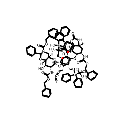 CC(C)(C[C@H]1[C@H](O[C@@H]2[C@H]3OC(=O)N[C@@H]3C[C@H](NC(=O)OCc3ccccc3)[C@H]2O[C@H]2O[C@H](CN=[N+]=[N-])[C@@H](O)C[C@H]2NC(=O)OCc2ccccc2)O[C@H](CO[Si](c2ccccc2)(c2ccccc2)C(C)(C)C)[C@H]1O[C@H]1O[C@H]2CN(C(=O)OCc3ccccc3)C(c3ccccc3)O[C@H]2[C@H](O)[C@H]1NC(=O)OCc1ccccc1)[Si](O)(c1ccccc1)c1ccccc1